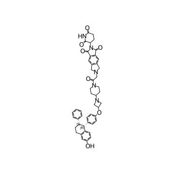 O=C1CCC(N2C(=O)c3cc4c(cc3C2=O)CN(CC(=O)N2CCC(N3CC(Oc5ccc([C@@H]6c7ccc(O)cc7CC[C@@H]6c6ccccc6)cc5)C3)CC2)C4)C(=O)N1